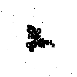 COc1ccc(-c2cnc(N)nc2-c2c[nH]c(C(=O)N3CCCN(C)CC3)c2)cc1OC